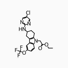 CCOC(=O)Cn1c2c(c3cc(OC(F)(F)F)ccc31)CC(Nc1ncc(Cl)cn1)CC2